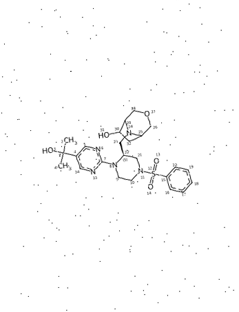 CC(C)(O)c1cnc(N2CCN(S(=O)(=O)c3ccccc3)C[C@@H]2CN2C3COCC2C(O)C3)nc1